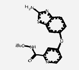 CC(C)CONC(=O)c1cc(Oc2ccc3nc(N)sc3c2)ccn1